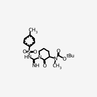 Cc1ccc(S(=O)(=O)NC(=N)N2CCCC(N(C)C(=O)OC(C)(C)C)C2=O)cc1